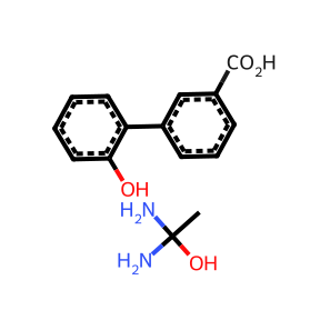 CC(N)(N)O.O=C(O)c1cccc(-c2ccccc2O)c1